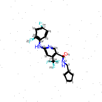 O=C(NCC1CCCC1)c1cnc(Nc2ccc(F)cc2F)cc1C(F)(F)F